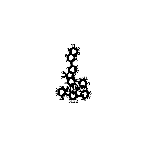 CC1(C)c2cc(-c3ccc4ccccc4c3)ccc2-c2ccc(-n3c4ccccc4c4ccc5c(c43)P(=O)(c3ccccc3)c3ccccc3-5)cc21